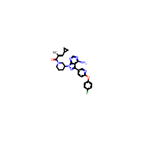 N#CC(=CC1CC1)C(=O)N1CCCC(n2nc(-c3ccc(Oc4ccc(F)cc4)nc3)c3c(N)ncnc32)C1